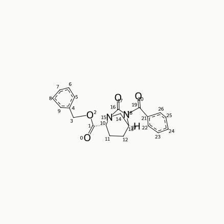 O=C(OCc1ccccc1)[C@H]1CC[C@H]2CN1C(=O)N2C(=O)c1ccccc1